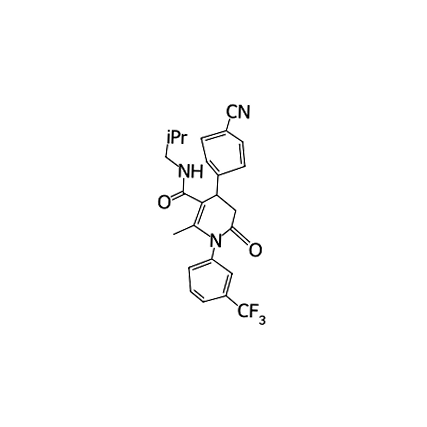 CC1=C(C(=O)NCC(C)C)C(c2ccc(C#N)cc2)CC(=O)N1c1cccc(C(F)(F)F)c1